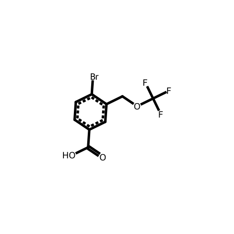 O=C(O)c1ccc(Br)c(COC(F)(F)F)c1